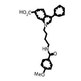 COc1ccc(C(=O)NCCCCn2cc(-c3ccccc3)c3ccc(C(=O)O)cc32)cc1